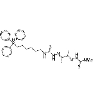 CNC(=S)N/N=C(C)/C(C)=N/NC(=S)NCCCCCC[PH](c1ccccc1)(c1ccccc1)c1ccccc1